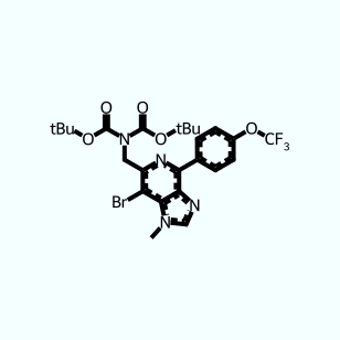 Cn1cnc2c(-c3ccc(OC(F)(F)F)cc3)nc(CN(C(=O)OC(C)(C)C)C(=O)OC(C)(C)C)c(Br)c21